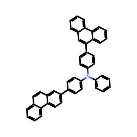 c1ccc(N(c2ccc(-c3ccc4c(ccc5ccccc54)c3)cc2)c2ccc(-c3cc4ccccc4c4ccccc34)cc2)cc1